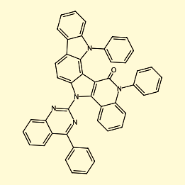 O=c1c2c3c(ccc4c5ccccc5n(-c5ccccc5)c43)n(-c3nc(-c4ccccc4)c4ccccc4n3)c2c2ccccc2n1-c1ccccc1